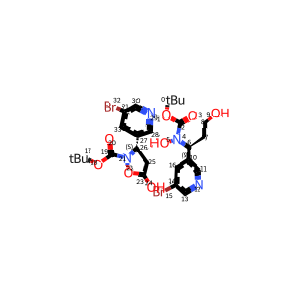 CC(C)(C)OC(=O)N(O)[C@@H](CCO)c1cncc(Br)c1.CC(C)(C)OC(=O)N1OC(O)C[C@H]1c1cncc(Br)c1